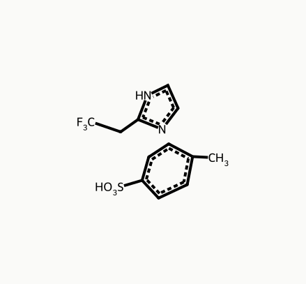 Cc1ccc(S(=O)(=O)O)cc1.FC(F)(F)Cc1ncc[nH]1